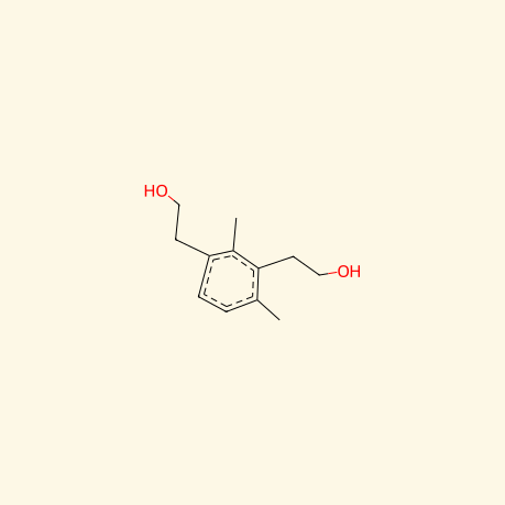 Cc1ccc(CCO)c(C)c1CCO